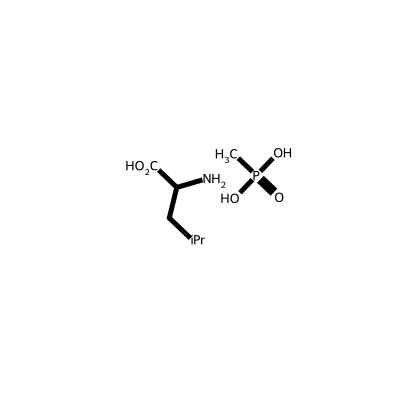 CC(C)CC(N)C(=O)O.CP(=O)(O)O